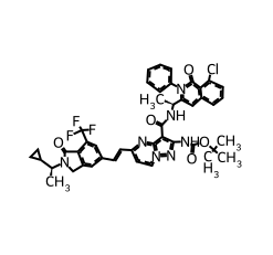 C[C@H](NC(=O)c1c(NC(=O)OC(C)(C)C)nn2ccc(/C=C/c3cc4c(c(C(F)(F)F)c3)C(=O)N([C@@H](C)C3CC3)C4)nc12)c1cc2cccc(Cl)c2c(=O)n1-c1ccccc1